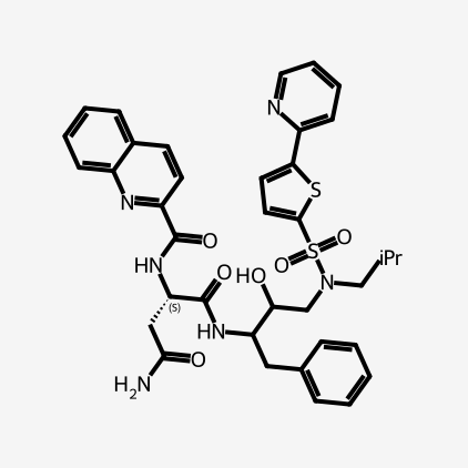 CC(C)CN(CC(O)C(Cc1ccccc1)NC(=O)[C@H](CC(N)=O)NC(=O)c1ccc2ccccc2n1)S(=O)(=O)c1ccc(-c2ccccn2)s1